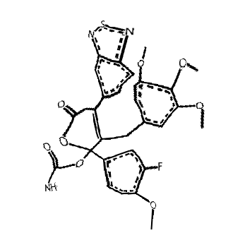 COc1ccc(C2(OC([NH])=O)OC(=O)C(c3ccc4nsnc4c3)=C2Cc2cc(OC)c(OC)c(OC)c2)cc1F